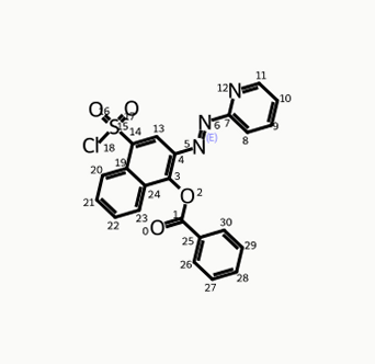 O=C(Oc1c(/N=N/c2ccccn2)cc(S(=O)(=O)Cl)c2ccccc12)c1ccccc1